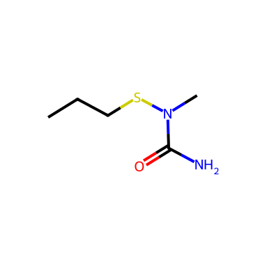 CCCSN(C)C(N)=O